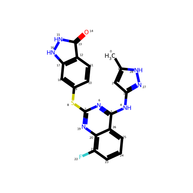 Cc1cc(Nc2nc(Sc3ccc4c(=O)[nH][nH]c4c3)nc3c(F)cccc23)n[nH]1